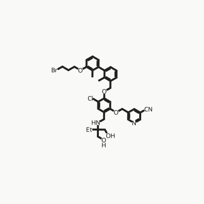 CCC(CO)(CO)NCc1cc(Cl)c(OCc2cccc(-c3cccc(OCCCBr)c3C)c2C)cc1OCc1cncc(C#N)c1